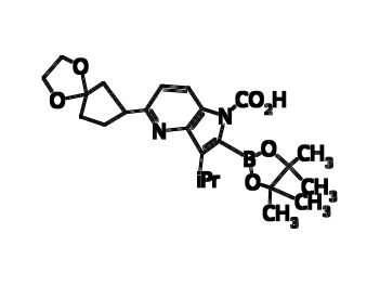 CC(C)c1c(B2OC(C)(C)C(C)(C)O2)n(C(=O)O)c2ccc(C3CCC4(C3)OCCO4)nc12